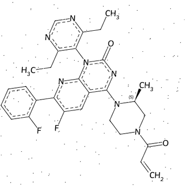 C=CC(=O)N1CCN(c2nc(=O)n(-c3c(CC)ncnc3CC)c3nc(-c4ccccc4F)c(F)cc23)[C@@H](C)C1